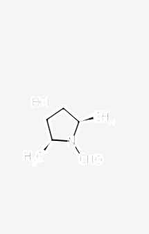 C[C@@H]1CC[C@H](C)N1C=O.Cl